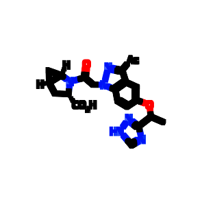 CC(=O)c1nn(CC(=O)N2[C@@H]3C[C@@H]3C[C@H]2C(=O)O)c2ccc(OC(C)c3nc[nH]n3)cc12